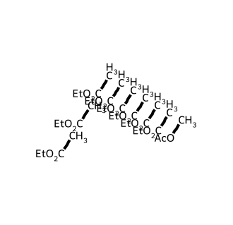 CCOC(C)=O.CCOC(C)=O.CCOC(C)=O.CCOC(C)=O.CCOC(C)=O.CCOC(C)=O.CCOC(C)=O.CCOC(C)=O.COC(C)=O